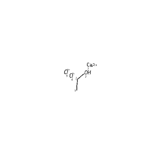 CCO.[Ca+2].[Cl-].[Cl-]